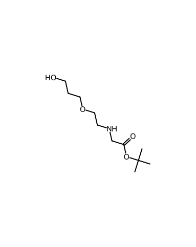 CC(C)(C)OC(=O)CNCCOCCCO